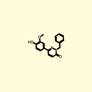 COc1cc(-c2ccc(=O)n(Cc3ccccc3)n2)ccc1O